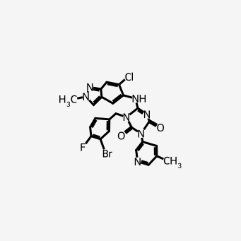 Cc1cncc(-n2c(=O)nc(Nc3cc4cn(C)nc4cc3Cl)n(Cc3ccc(F)c(Br)c3)c2=O)c1